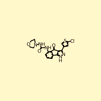 O=C(Nc1cccc2c1C(=O)c1c(-c3csc(Cl)c3)n[nH]c1-2)NN1CCOCC1